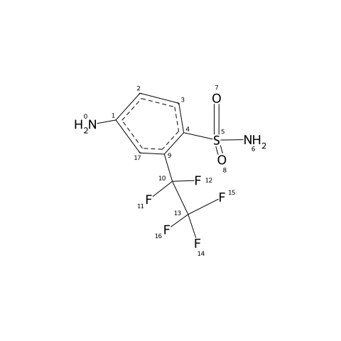 Nc1ccc(S(N)(=O)=O)c(C(F)(F)C(F)(F)F)c1